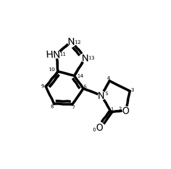 O=C1OCCN1c1cccc2[nH]nnc12